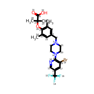 Cc1cc(CN2CCN(c3ncc(C(F)(F)F)cc3Br)CC2)cc(C)c1OC(C)(C)C(=O)O